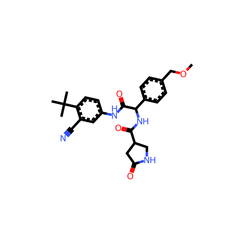 COCc1ccc(C(NC(=O)C2CNC(=O)C2)C(=O)Nc2ccc(C(C)(C)C)c(C#N)c2)cc1